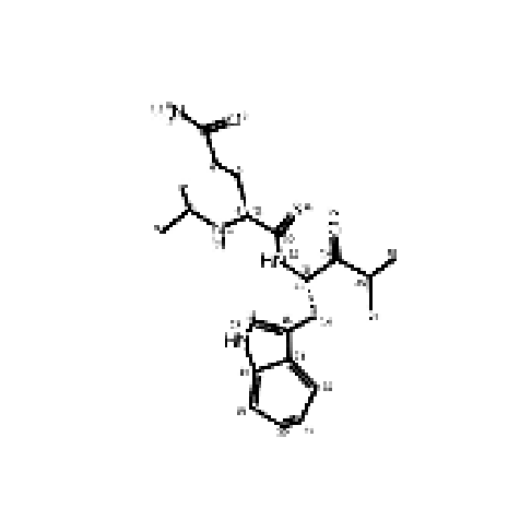 CC(C)N[C@@H](CCC(N)=O)C(=S)N[C@@H](Cc1c[nH]c2ccccc12)C(=O)C(C)C